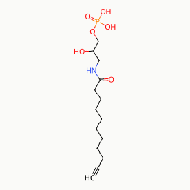 C#CCCCCCCCCC(=O)NCC(O)COP(=O)(O)O